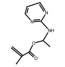 C=C(C)C(=O)OC(C)Nc1ncccn1